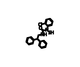 O=C(NCC(c1ccccc1)c1ccccc1)N(S)c1ccccc1Cl